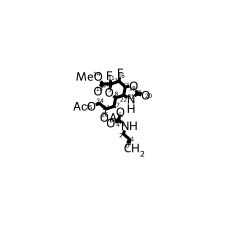 C=CCNC(=O)O[C@@H](C1OC(F)(C(=O)OC)C(F)C2OC(=O)NC21)[C@@H](COC(C)=O)OC(C)=O